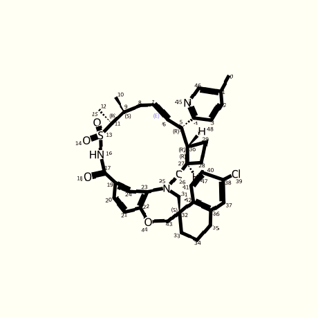 Cc1ccc([C@H]2/C=C/C[C@H](C)[C@@H](C)S(=O)(=O)NC(=O)c3ccc4c(c3)N(C[C@@H]3CC[C@H]32)C[C@@]2(CCCc3cc(Cl)ccc32)CO4)nc1